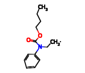 [CH2]CN(C(=O)OCCCC)c1ccccc1